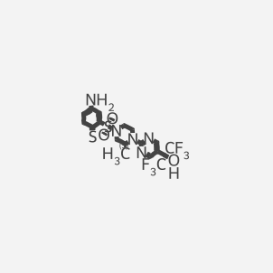 C[C@H]1CN(S(=O)(=O)C2=CC(N)=CCC2=S)CCN1c1ncc(C(O)(C(F)(F)F)C(F)(F)F)cn1